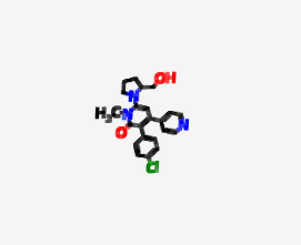 Cn1c(N2CCCC2CO)cc(-c2ccncc2)c(-c2ccc(Cl)cc2)c1=O